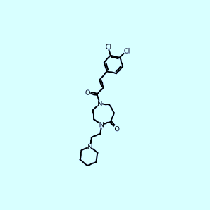 O=C(C=Cc1ccc(Cl)c(Cl)c1)N1CCC(=O)N(CCN2CCCCC2)CC1